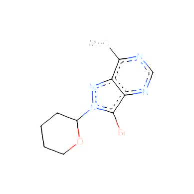 COc1ncnc2c(Br)n(C3CCCCO3)nc12